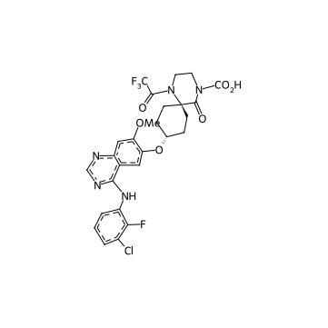 COc1cc2ncnc(Nc3cccc(Cl)c3F)c2cc1O[C@H]1CC[C@]2(CC1)C(=O)N(C(=O)O)CCN2C(=O)C(F)(F)F